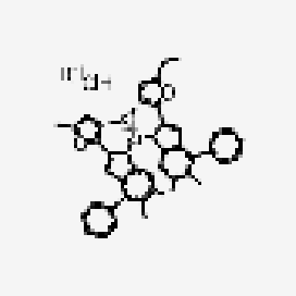 CCc1ccc(C2=Cc3c(cc(C)c(C)c3-c3ccccc3)[CH]2[Zr]([CH]2C(c3ccc(C)o3)=Cc3c2cc(C)c(C)c3-c2ccccc2)=[Si](C)C)o1.Cl.Cl